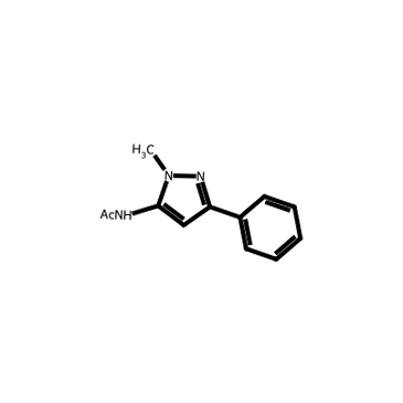 CC(=O)Nc1cc(-c2ccccc2)nn1C